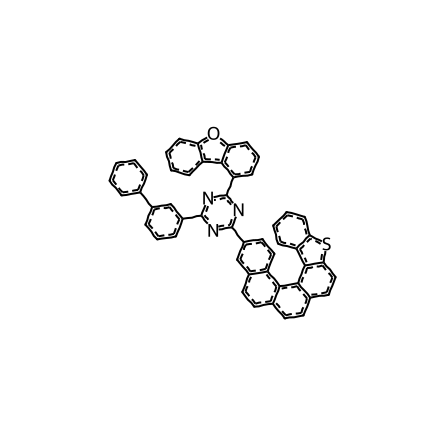 c1ccc(-c2cccc(-c3nc(-c4ccc5c(ccc6ccc7ccc8sc9ccccc9c8c7c65)c4)nc(-c4cccc5oc6ccccc6c45)n3)c2)cc1